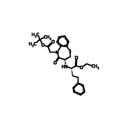 CCOC(=O)[C@H](CCc1ccccc1)N[C@H]1CSc2ccccc2N(CC(=O)OC(C)(C)C)C1=O